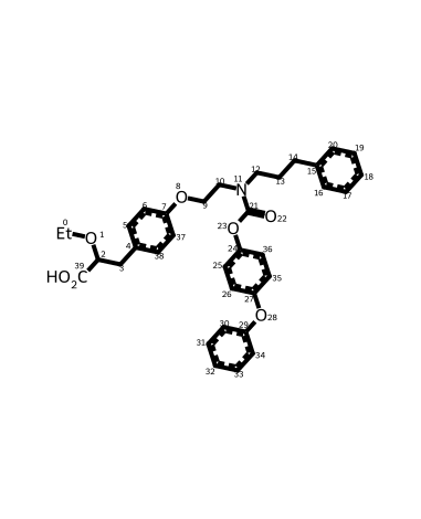 CCOC(Cc1ccc(OCCN(CCCc2ccccc2)C(=O)Oc2ccc(Oc3ccccc3)cc2)cc1)C(=O)O